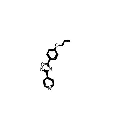 CCCOc1ccc(-c2nc(-c3ccncc3)no2)cc1